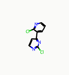 Clc1nccc(-c2cccnc2Cl)n1